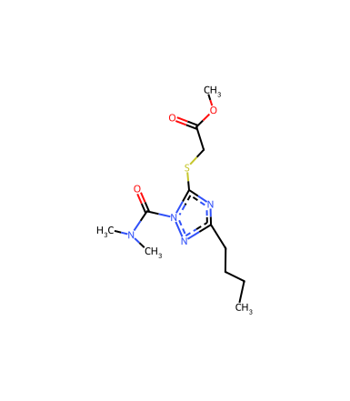 CCCCc1nc(SCC(=O)OC)n(C(=O)N(C)C)n1